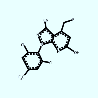 N#Cc1nn(-c2c(Cl)cc(C(F)(F)F)cc2Cl)c2nc(O)cc(CF)c12